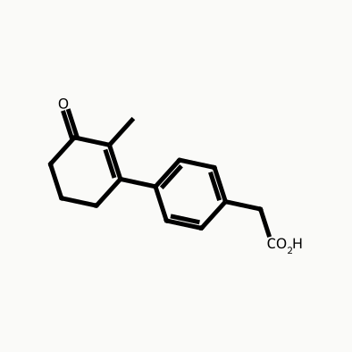 CC1=C(c2ccc(CC(=O)O)cc2)CCCC1=O